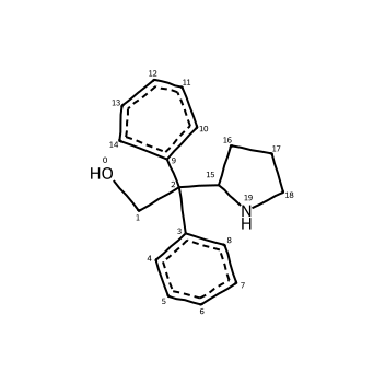 OCC(c1ccccc1)(c1ccccc1)C1CCCN1